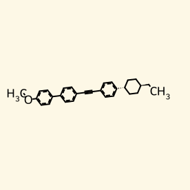 CC[C@H]1CC[C@H](c2ccc(C#Cc3ccc(-c4ccc(OC)cc4)cc3)cc2)CC1